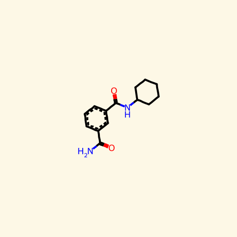 NC(=O)c1cccc(C(=O)NC2CCCCC2)c1